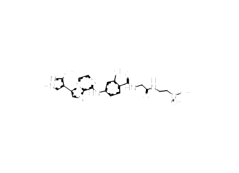 CN(C)CCNC(=O)CNC(=O)c1ccc(Nc2nccn3c(-c4c[nH]nc4C(F)(F)F)cnc23)cc1Cl